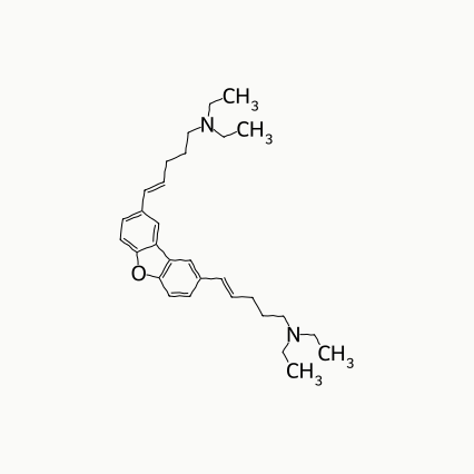 CCN(CC)CCCC=Cc1ccc2oc3ccc(C=CCCCN(CC)CC)cc3c2c1